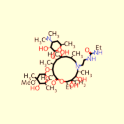 CCNC(=O)NCCN1C[C@H](C)C[C@@](C)(O)[C@@H](O[C@@H]2O[C@H](C)C[C@H](N(C)C)[C@H]2O)[C@H](C)[C@@H](O[C@@H]2C[C@@](C)(OC)[C@@H](O)[C@H](C)O2)[C@@H](C)C(=O)O[C@H](CC)[C@@](C)(O)[C@H](O)[C@H]1C